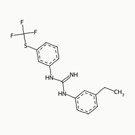 CCc1cccc(NC(=N)Nc2cccc(SC(F)(F)F)c2)c1